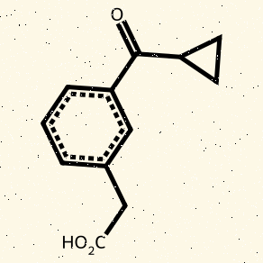 O=C(O)Cc1cccc(C(=O)C2CC2)c1